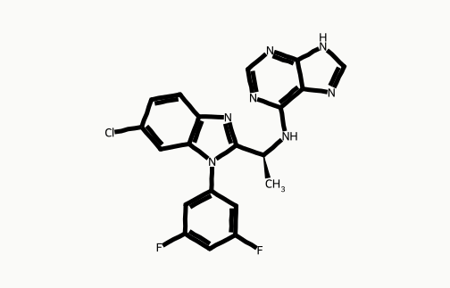 C[C@H](Nc1ncnc2[nH]cnc12)c1nc2ccc(Cl)cc2n1-c1cc(F)cc(F)c1